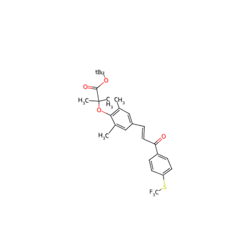 Cc1cc(/C=C/C(=O)c2ccc(SC(F)(F)F)cc2)cc(C)c1OC(C)(C)C(=O)OC(C)(C)C